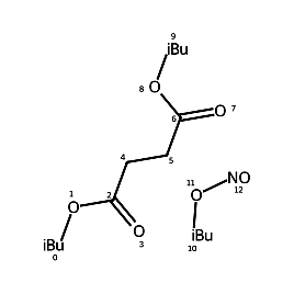 CCC(C)OC(=O)CCC(=O)OC(C)CC.CCC(C)ON=O